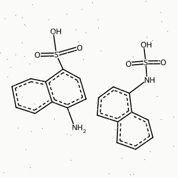 Nc1ccc(S(=O)(=O)O)c2ccccc12.O=S(=O)(O)Nc1cccc2ccccc12